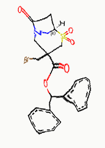 O=C1C[C@@H]2N1CC(CBr)(C(=O)OC(c1ccccc1)c1ccccc1)CS2(=O)=O